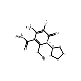 COC(=O)c1c(C)c(Br)c(=O)n(C2CCCC2)c1CBr